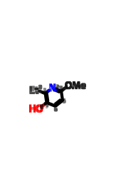 [CH2]Cc1nc(OC)ccc1O